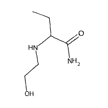 CCC(NCCO)C(N)=O